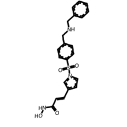 O=C(C=Cc1ccn(S(=O)(=O)c2ccc(CNCc3ccccc3)cc2)c1)NO